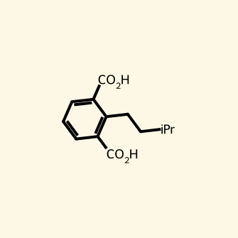 CC(C)CCc1c(C(=O)O)cccc1C(=O)O